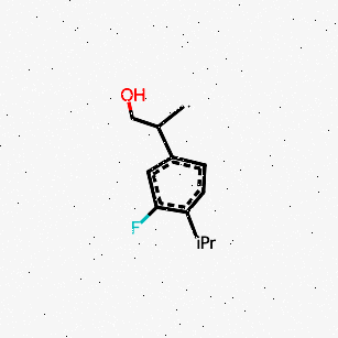 [CH2]C(CO)c1ccc(C(C)C)c(F)c1